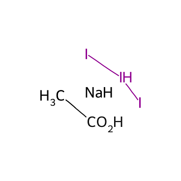 CC(=O)O.I[IH]I.[NaH]